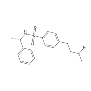 CC([N])CCc1ccc(S(=O)(=O)N[C@@H](C)c2ccccc2)cc1